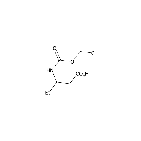 CCC(CC(=O)O)NC(=O)OCCl